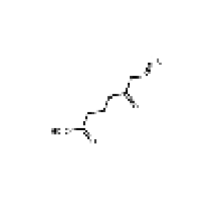 C=CCC(=O)OCCC(=C)C(=O)O